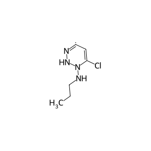 CCCNN1NN=[C]C=C1Cl